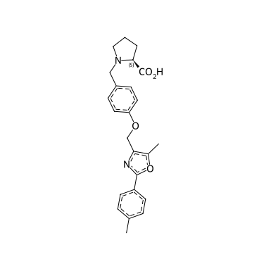 Cc1ccc(-c2nc(COc3ccc(CN4CCC[C@H]4C(=O)O)cc3)c(C)o2)cc1